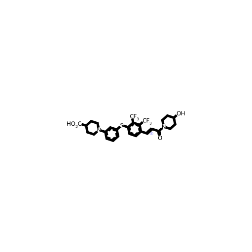 O=C(O)C1CCN(c2cccc(Sc3ccc(/C=C/C(=O)N4CCC(O)CC4)c(C(F)(F)F)c3C(F)(F)F)c2)CC1